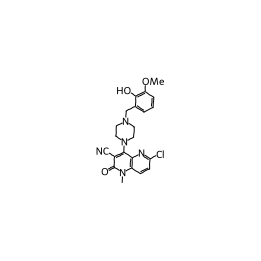 COc1cccc(CN2CCN(c3c(C#N)c(=O)n(C)c4ccc(Cl)nc34)CC2)c1O